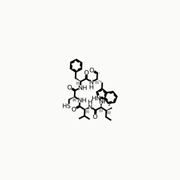 CC[C@H](C)[C@H](N)C(=O)N[C@H](C(=O)N[C@@H](CS)C(=O)N[C@@H](Cc1ccccc1)C(=O)N[C@H]([C]=O)Cc1c[nH]c2ccccc12)C(C)C